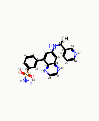 CC(Nc1cc(-c2cccc(S(N)(=O)=O)c2)c2nccnc2c1)c1cccnc1